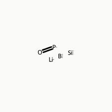 O=[P].[B].[Li].[Si]